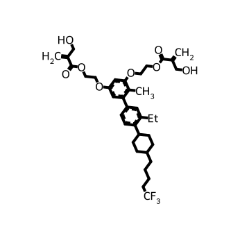 C=C(CO)C(=O)OCCOc1cc(OCCOC(=O)C(=C)CO)c(C)c(-c2ccc(C3CCC(CCCCC(F)(F)F)CC3)c(CC)c2)c1